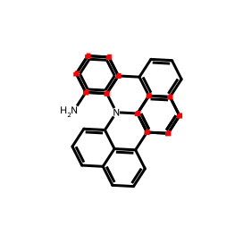 Nc1ccccc1N(c1cccc2cccc(-c3ccccc3)c12)c1cccc2cccc(-c3ccccc3)c12